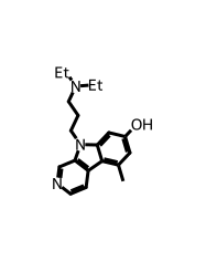 CCN(CC)CCCn1c2cnccc2c2c(C)cc(O)cc21